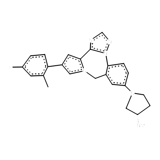 CN[C@H]1CCN(c2ccc3c(c2)Cn2cc(-c4ccc(F)cc4F)cc2-c2ncnn2-3)C1